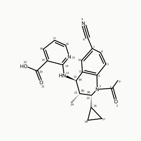 CC(=O)N1c2ccc(C#N)cc2[C@H](Nc2ncccc2C(=O)O)[C@@H](C)[C@H]1C1CC1